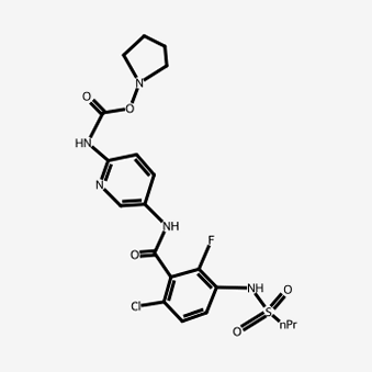 CCCS(=O)(=O)Nc1ccc(Cl)c(C(=O)Nc2ccc(NC(=O)ON3CCCC3)nc2)c1F